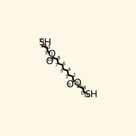 O=C(CCCCCCCC(=O)OCCCS)OCCCS